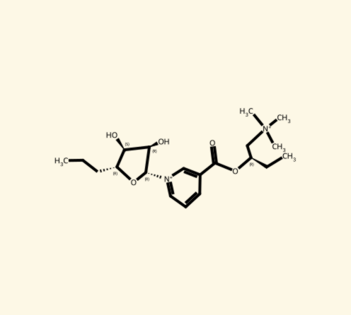 CCC[C@H]1O[C@@H]([n+]2cccc(C(=O)O[C@H](CC)C[N+](C)(C)C)c2)[C@H](O)[C@@H]1O